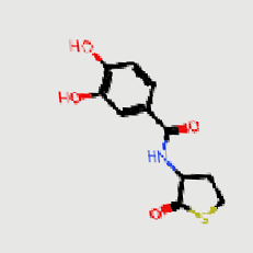 O=C(NC1CCSC1=O)c1ccc(O)c(O)c1